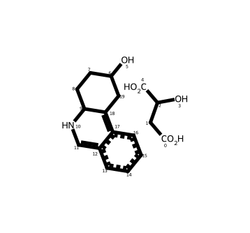 O=C(O)CC(O)C(=O)O.OC1CCC2NC=c3ccccc3=C2C1